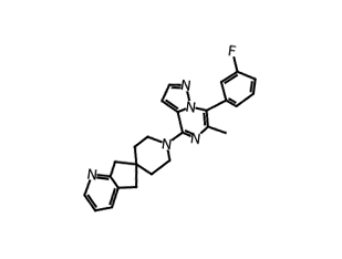 Cc1nc(N2CCC3(CC2)Cc2cccnc2C3)c2ccnn2c1-c1cccc(F)c1